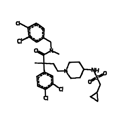 CN(Cc1ccc(Cl)c(Cl)c1)C(=O)C(C)(CCN1CCC(NS(=O)(=O)CC2CC2)CC1)c1ccc(Cl)c(Cl)c1